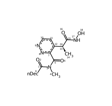 CCCCCCCCCCC(=O)N(C)C(=O)c1nnccc1[C@H](C)C(=O)NO